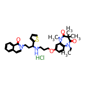 CCN1C(=O)C(C)(C)C(=O)N(C)c2cc(OCCCNC(CCn3ccc4ccccc4c3=O)c3cccs3)ccc21.Cl